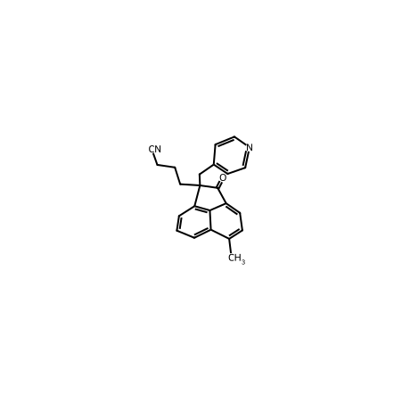 Cc1ccc2c3c(cccc13)C(CCCC#N)(Cc1ccncc1)C2=O